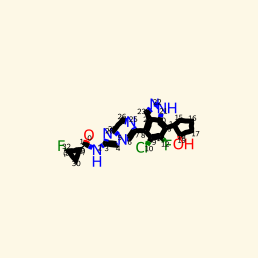 O=C(Nc1cn2cc(-c3c(Cl)c(F)c(C4CCCC4O)c4[nH]ncc34)ncc2n1)[C@@H]1C[C@@H]1F